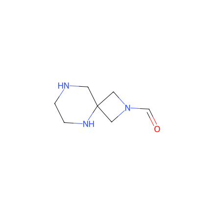 O=CN1CC2(CNCCN2)C1